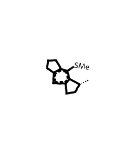 CSc1c2c(cc3c1[C@H](C)CC3)CCC2